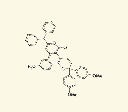 COc1ccc(C2(c3ccc(OC)cc3)C=Cc3c(c4ccc(C)cc4c4cc(C(c5ccccc5)c5ccccc5)oc(=O)c34)O2)cc1